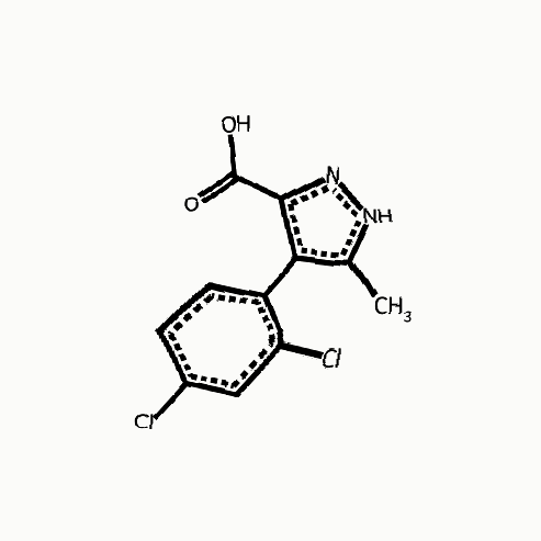 Cc1[nH]nc(C(=O)O)c1-c1ccc(Cl)cc1Cl